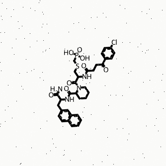 NC(=O)C(Cc1ccc2ccccc2c1)NC(=O)C1CCCCN1C(=O)C(CSCP(=O)(O)O)NC(=O)CCC(=O)c1ccc(Cl)cc1